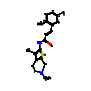 CCOC(=O)N1CCc2c(sc(NC(=O)C=Cc3cc(Br)ccc3OC)c2C#N)C1